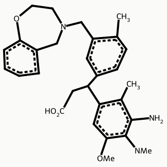 CNc1c(OC)cc(C(CC(=O)O)c2ccc(C)c(CN3CCOc4ccccc4C3)c2)c(C)c1N